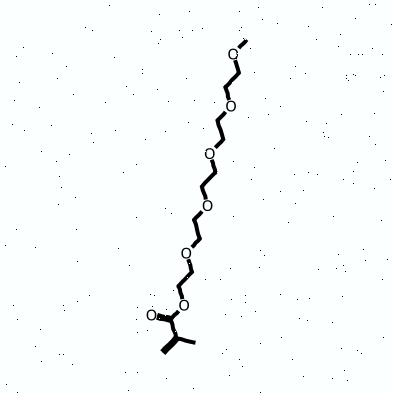 C=C(C)C(=O)OCCOCCOCCOCCOCCOC